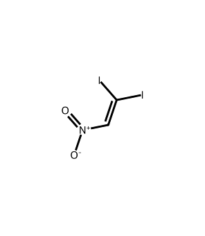 O=[N+]([O-])C=C(I)I